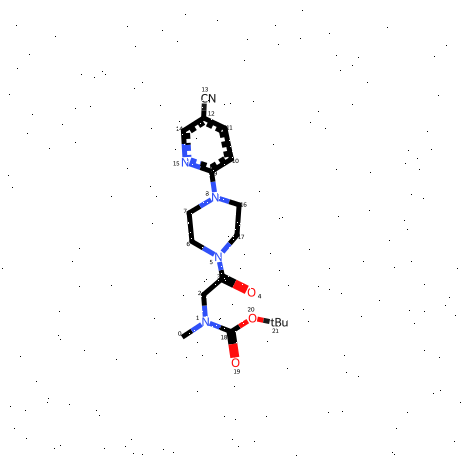 CN(CC(=O)N1CCN(c2ccc(C#N)cn2)CC1)C(=O)OC(C)(C)C